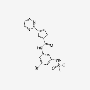 CS(=O)(=O)Nc1cc(Br)cc(NC(=O)c2cc(-c3ncccn3)cs2)c1